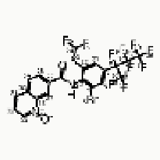 O=C(Nc1c(Br)cc(C(F)(C(F)(F)F)C(F)(F)C(F)(F)F)cc1SC(F)F)c1ccc2ccc[n+]([O-])c2c1